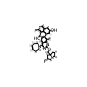 C#Cc1c(F)ccc2cc(O)cc(-c3ccc4c(N5CCC=CCC5)nc(OCC56CCCN5C[C@H](F)C6)nc4c3F)c12